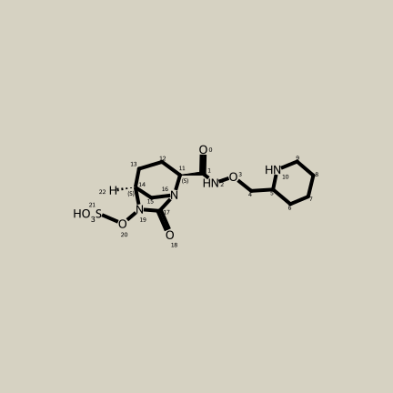 O=C(NOCC1CCCCN1)[C@@H]1CC[C@H]2CN1C(=O)N2OS(=O)(=O)O